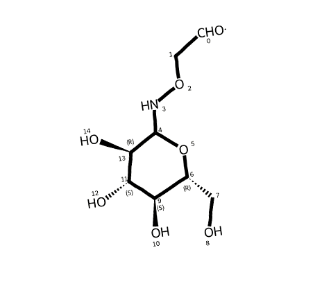 O=[C]CONC1O[C@H](CO)[C@@H](O)[C@H](O)[C@H]1O